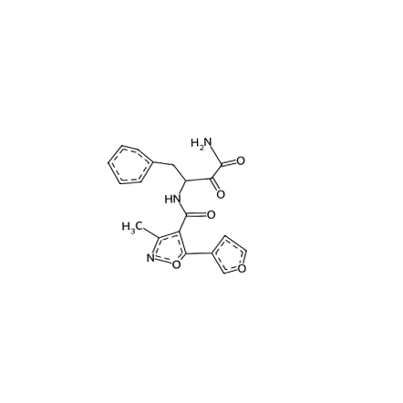 Cc1noc(-c2ccoc2)c1C(=O)NC(Cc1ccccc1)C(=O)C(N)=O